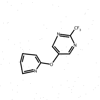 FC(F)(F)c1ncc(Oc2cc[c]cn2)cn1